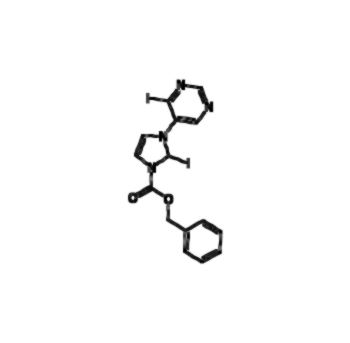 O=C(OCc1ccccc1)N1C=CN(c2cncnc2I)C1I